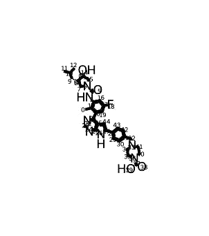 Cc1c(NC(=O)N2C[C@H](CC(C)C)[C@@H](O)C2)cc(F)cc1-c1ncnc2[nH]c(-c3ccc(CN4CCN(C(=O)O)CC4)cc3)cc12